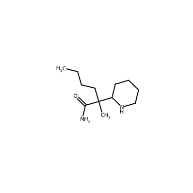 CCCCC(C)(C(N)=O)C1CCCCN1